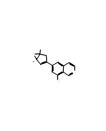 CC12CC(c3cc(N)c4cnccc4c3)=C[C@@H]1N2